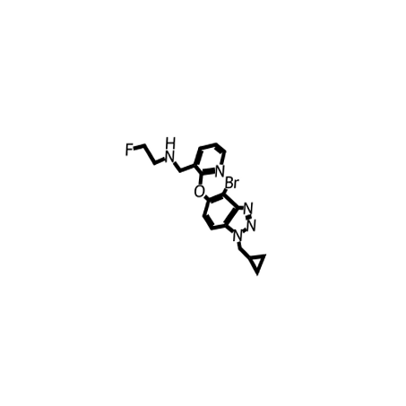 FCCNCc1cccnc1Oc1ccc2c(nnn2CC2CC2)c1Br